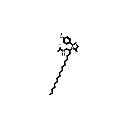 CCCCCCCCCCCCCCCCC(CNC(C)=O)N1C(=O)CSC1c1ccc(OC)cc1